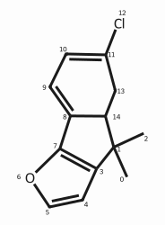 CC1(C)c2ccoc2C2=CC=C(Cl)CC21